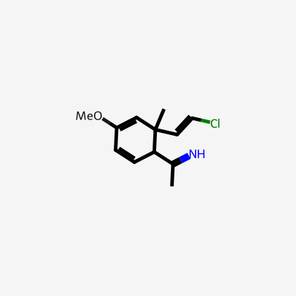 COC1=CC(C)(/C=C/Cl)C(C(C)=N)C=C1